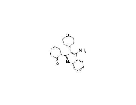 Nc1c(N2CCOCC2)c([C@@H]2CCCCC2=O)nc2ccccc12